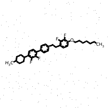 CCCCCCCOc1ccc(CCc2ccc(-c3ccc(C4CCC(C)CC4)c(F)c3F)cc2)c(F)c1F